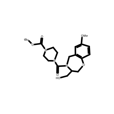 COc1ccc2c(c1)CN(C(=O)N1CCN(C(=O)OC(C)(C)C)CC1)C(CO)CO2